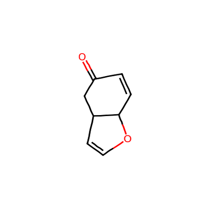 O=C1C=CC2OC=CC2C1